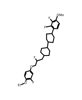 CCOc1ccc(OCC(F)CC2CCC(C3CCC(c4ccc(OC)c(F)c4F)CC3)CC2)cc1F